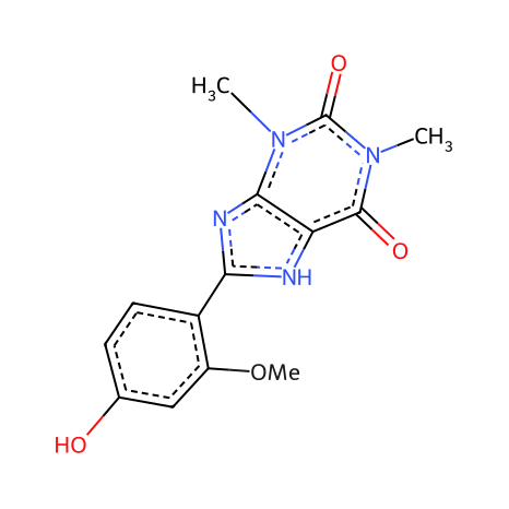 COc1cc(O)ccc1-c1nc2c([nH]1)c(=O)n(C)c(=O)n2C